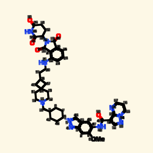 COc1cc2nn([C@H]3CC[C@H](CN4CCC5(CC4)CC(CCNc4cccc6c4C(=O)N(C4CCC(=O)NC4=O)C6=O)C5)CC3)cc2cc1NC(=O)c1cnn2cccnc12